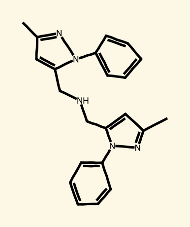 Cc1cc(CNCc2cc(C)nn2-c2ccccc2)n(-c2ccccc2)n1